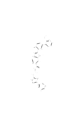 COc1ncccc1-c1ccc(O)c(-c2nc3ccc(C(=O)NCCc4nc(-c5cccnc5)n[nH]4)cc3[nH]2)c1